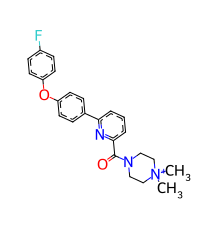 C[N+]1(C)CCN(C(=O)c2cccc(-c3ccc(Oc4ccc(F)cc4)cc3)n2)CC1